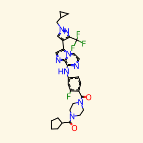 O=C(c1ccc(Nc2nccn3c(-c4cn(CC5CC5)nc4C(F)(F)F)cnc23)cc1F)N1CCN(C(=O)C2CCCC2)CC1